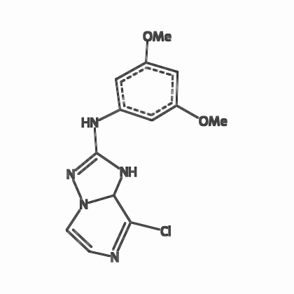 COc1cc(NC2=NN3C=CN=C(Cl)C3N2)cc(OC)c1